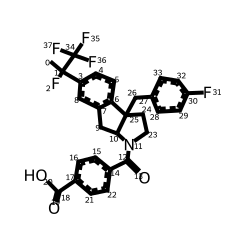 CC(F)(c1ccc2c(c1)CC1N(C(=O)c3ccc(C(=O)O)cc3)CCC21Cc1ccc(F)cc1)C(F)(F)F